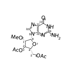 CO[C@H]1C(OC(C)=O)[C@@H](COC(C)=O)O[C@H]1n1cnc2c(=O)[nH]c(N)nc21